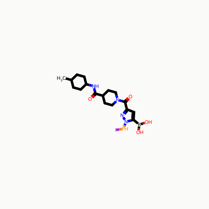 CC1CCC(NC(=O)C2CCN(C(=O)c3cc(B(O)O)n(PI)n3)CC2)CC1